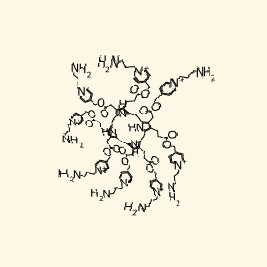 NCCC[n+]1ccc(COC(=O)CCc2c3[nH]c(c2CC(=O)OCc2cc[n+](CCCN)cc2)Cc2[nH]c(c(CC(=O)OCc4cc[n+](CCCN)cc4)c2CCC(=O)OCc2cc[n+](CCCN)cc2)Cc2[nH]c(c(CC(=O)OCc4cc[n+](CCCN)cc4)c2CCC(=O)OCc2cc[n+](CCCN)cc2)Cc2[nH]c(c(CCC(=O)OCc4cc[n+](CCCN)cc4)c2CC(=O)OCc2cc[n+](CCCN)cc2)C3)cc1